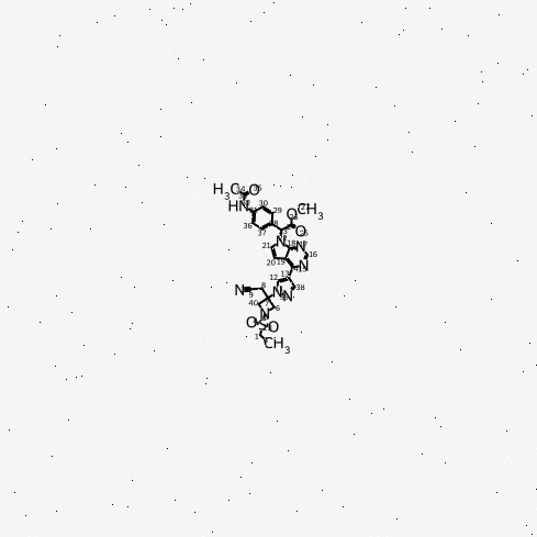 CCS(=O)(=O)N1CC(CC#N)(n2cc(-c3ncnc4c3ccn4C(C(=O)OC)c3ccc(NC(C)=O)cc3)cn2)C1